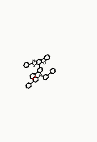 c1ccc(-c2ccc(N(c3cccc(-c4ccccc4)c3)c3ccc(-c4c5oc6ccccc6c5cc5nc(-c6ccccc6)sc45)cc3-c3ccccc3)cc2)cc1